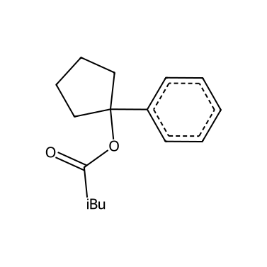 CCC(C)C(=O)OC1(c2ccccc2)CCCC1